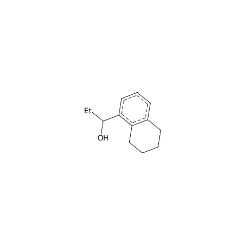 CCC(O)c1cccc2c1CCCC2